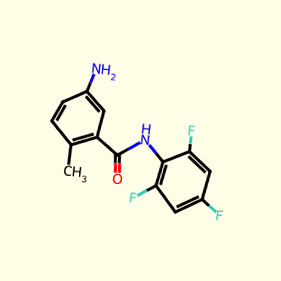 Cc1ccc(N)cc1C(=O)Nc1c(F)cc(F)cc1F